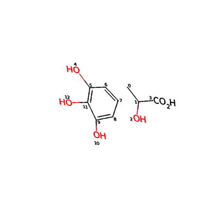 CC(O)C(=O)O.Oc1cccc(O)c1O